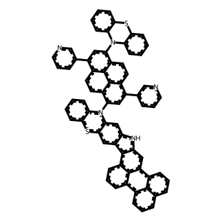 c1cncc(-c2cc(N3c4ccccc4Sc4ccccc43)c3ccc4c(-c5cccnc5)cc(-n5c6ccccc6sc6cc7c(cc65)[nH]c5cc6c8cccc9cccc(c%10cccc(c57)c%106)c98)c5ccc2c3c45)c1